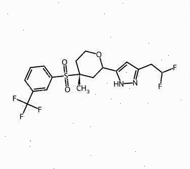 C[C@@]1(S(=O)(=O)c2cccc(C(F)(F)F)c2)CCOC(c2cc(CC(F)F)n[nH]2)C1